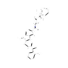 CCn1c2ccc(C(=O)c3ccccc3C)cc2c2cc(/C(C)=N/OC(=O)C(C)(C)N3C=CCCC3)ccc21